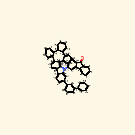 O=C1c2ccccc2-c2cc(-n3c4cc(-c5cccc(-c6ccccc6)c5)ccc4c4ccc5c(c43)-c3ccccc3-c3ccccc3-c3ccccc3-5)ccc21